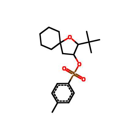 Cc1ccc(S(=O)(=O)OC2CC3(CCCCC3)OC2C(C)(C)C)cc1